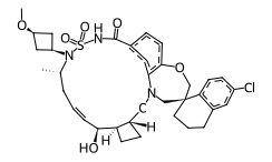 CO[C@H]1C[C@@H](N2[C@@H](C)C/C=C\[C@H](O)[C@@H]3CC[C@H]3CN3C[C@@]4(CCCc5cc(Cl)ccc54)COc4ccc(cc43)C(=O)NS2(=O)=O)C1